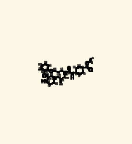 C=COC(=O)c1ccc(NC(=O)N(CCCOc2ccccc2C#N)CC(=C)CN2CCNCC2)cc1